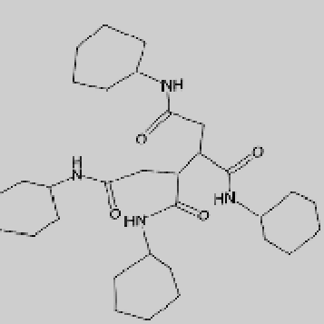 O=C(CC(C(=O)NC1CCCCC1)C(CC(=O)NC1CCCCC1)C(=O)NC1CCCCC1)NC1CCCCC1